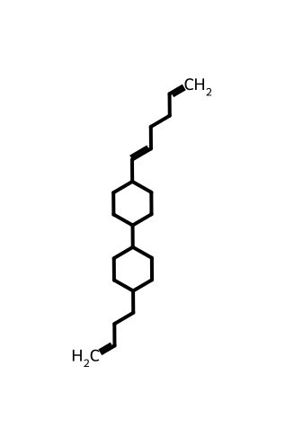 C=CCCC=CC1CCC(C2CCC(CCC=C)CC2)CC1